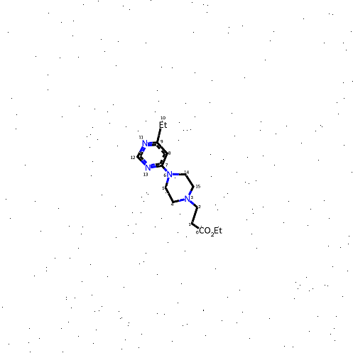 CCOC(=O)CCN1CCN(c2cc(CC)ncn2)CC1